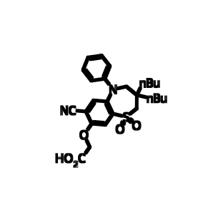 CCCCC1(CCCC)CN(c2ccccc2)c2cc(C#N)c(OCC(=O)O)cc2S(=O)(=O)C1